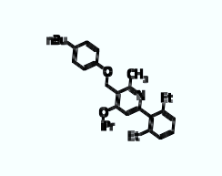 CCCCc1ccc(OCc2c(OC(C)C)cc(-c3c(CC)cccc3CC)nc2C)cc1